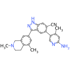 Cc1cc(N)ncc1-c1cc2c(-c3cc(C)c4c(c3)CN(C)CC4)n[nH]c2cc1C#N